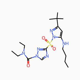 CCCCNc1cc(C(C)(C)C)nn1S(=O)(=O)c1ncn(C(=O)N(CC)CC)n1